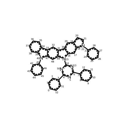 c1ccc(-c2nc(-c3ccccc3)nc(-n3c4cc5c(ccn5-c5ccccc5)cc4c4cc5c6ccccc6n(-c6ccccc6)c5cc43)n2)cc1